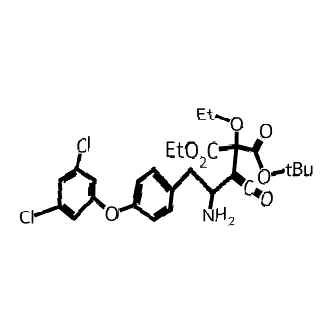 CCOC(=O)C(OCC)(C(=O)OC(C)(C)C)C(=C=O)C(N)Cc1ccc(Oc2cc(Cl)cc(Cl)c2)cc1